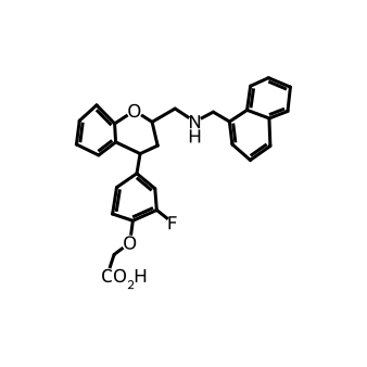 O=C(O)COc1ccc(C2CC(CNCc3cccc4ccccc34)Oc3ccccc32)cc1F